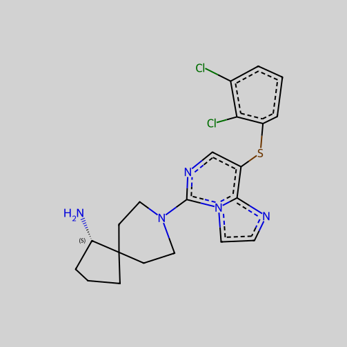 N[C@H]1CCCC12CCN(c1ncc(Sc3cccc(Cl)c3Cl)c3nccn13)CC2